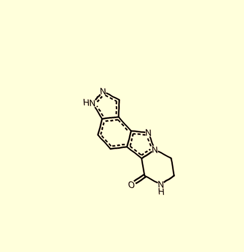 O=C1NCCn2nc3c(ccc4[nH]ncc43)c21